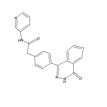 O=C(Cc1ccc(-c2n[nH]c(=O)c3ccccc23)cc1)Nc1cccnc1